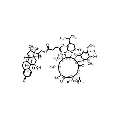 CC[C@H]1OC(=O)[C@H](C)[C@@H](O[C@H]2C[C@@](C)(OC)[C@@H](O)[C@H](C)O2)[C@H](C)[C@@H](O[C@@H]2O[C@H](C)CC(N(C)C)[C@H]2OC(=O)CCC(=O)OCC(=O)[C@@]2(O)[C@H](C)C[C@H]3[C@@H]4CCC5=CC(=O)C=C[C@]5(C)[C@@]4(F)[C@@H](O)C[C@@]32C)[C@](C)(O)C[C@@H](C)CN(C)[C@H](C)[C@@H](O)[C@]1(C)O